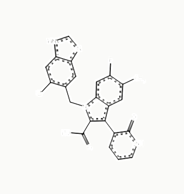 Cc1cc2c(-c3ccc[nH]c3=O)c(C(=O)O)n(Cc3cc4nc[nH]c4cc3Cl)c2cc1F